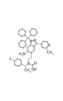 Cc1cc(-c2nn(C(c3ccccc3)(c3ccccc3)c3ccccc3)c3cc(N)c(CCN(C(=O)O)C(C)c4ccc(F)cc4)cc23)ccn1